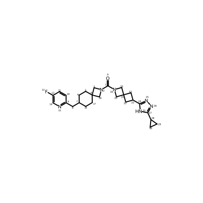 O=C(N1CC2(CCC(Cc3ccc(F)cn3)CC2)C1)N1CC2(CC(c3nnc(C4CC4)[nH]3)C2)C1